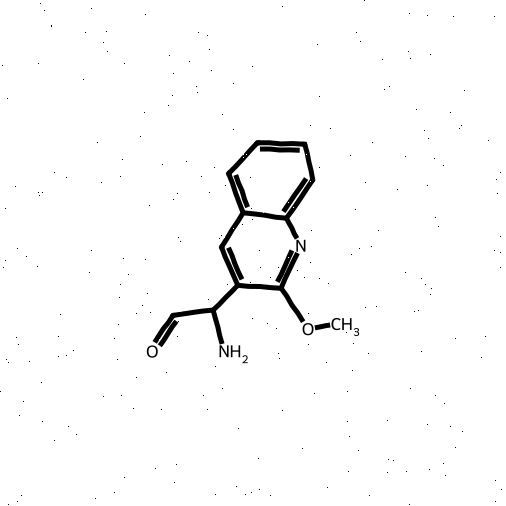 COc1nc2ccccc2cc1C(N)C=O